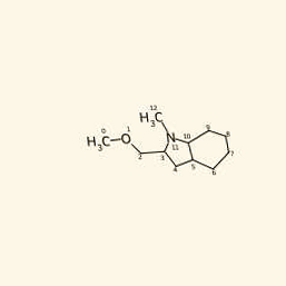 COCC1CC2CCCCC2N1C